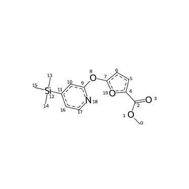 COC(=O)c1ccc(Oc2cc([Si](C)(C)C)ccn2)o1